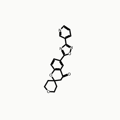 O=C1CC2(CCOCC2)Oc2ccc(-c3nc(-c4cccnc4)no3)cc21